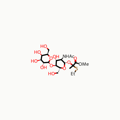 CCSC(C)(O[C@@H]1O[C@H](CO)[C@@H](O[C@@H]2O[C@H](CO)[C@H](O)[C@H](O)[C@H]2O)[C@H](O)[C@H]1NC(C)=O)C(=O)OC